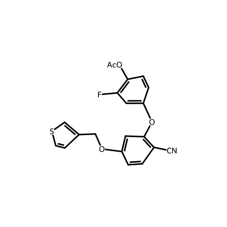 CC(=O)Oc1ccc(Oc2cc(OCc3ccsc3)ccc2C#N)cc1F